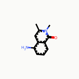 Cc1cc2c(N)cccc2c(=O)n1C